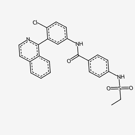 CCS(=O)(=O)Nc1ccc(C(=O)Nc2ccc(Cl)c(-c3nccc4ccccc34)c2)cc1